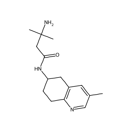 Cc1cnc2c(c1)CC(NC(=O)CC(C)(C)N)CC2